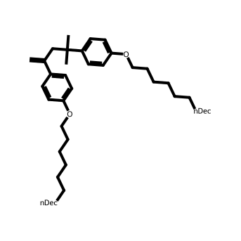 C=C(CC(C)(C)c1ccc(OCCCCCCCCCCCCCCCC)cc1)c1ccc(OCCCCCCCCCCCCCCCC)cc1